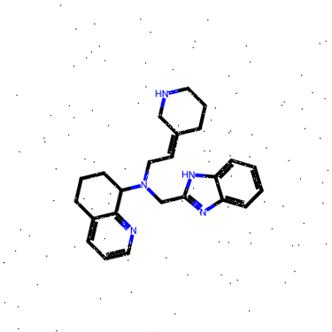 C(CN(Cc1nc2ccccc2[nH]1)C1CCCc2cccnc21)=C1CCCNC1